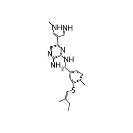 CC/C(C)=C\Sc1cc(CNc2nc(/C(C=N)=C/NC)cnc2N)ccc1C